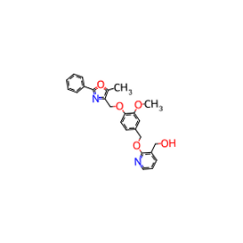 COc1cc(COc2ncccc2CO)ccc1OCc1nc(-c2ccccc2)oc1C